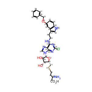 NC(CCSC[C@H]1O[C@@H](n2cnc3c(NCCc4c[nH]c5ccc(OCc6ccccc6)cc45)nc(Cl)nc32)[C@H](O)[C@H]1O)C(=O)O